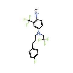 [C-]#[N+]c1ccc(N(CCCc2ccc(F)cc2)CC(F)(F)F)cc1C(F)(F)F